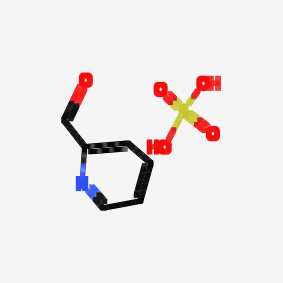 O=Cc1ccccn1.O=S(=O)(O)O